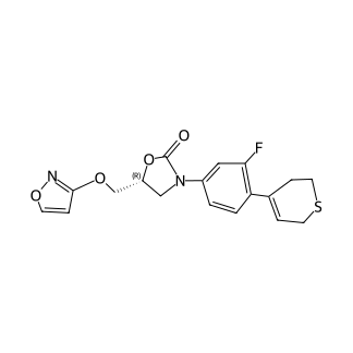 O=C1O[C@@H](COc2ccon2)CN1c1ccc(C2=CCSCC2)c(F)c1